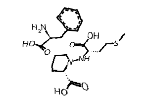 CSCC[C@H](NN1CCC[C@H]1C(=O)O)C(=O)O.N[C@@H](Cc1ccccc1)C(=O)O